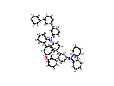 c1ccc(-c2cccc(-c3cccc(N(c4ccc(-c5cccc(-n6c7ccccc7c7ccccc76)c5)cc4)c4ccccc4-c4ccc5c(c4)oc4ccccc45)c3)c2)cc1